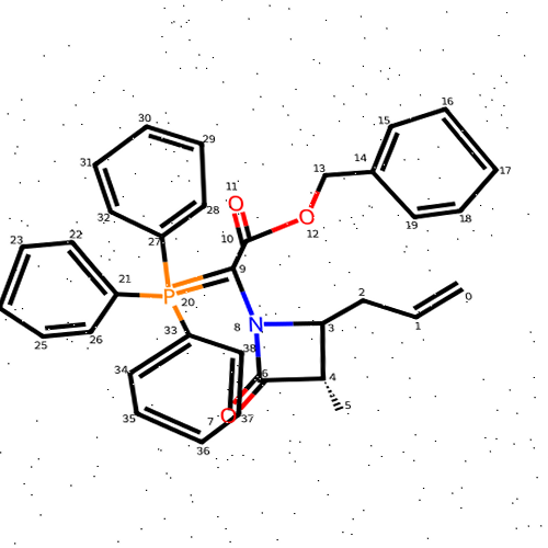 C=CCC1[C@H](C)C(=O)N1C(C(=O)OCc1ccccc1)=P(c1ccccc1)(c1ccccc1)c1ccccc1